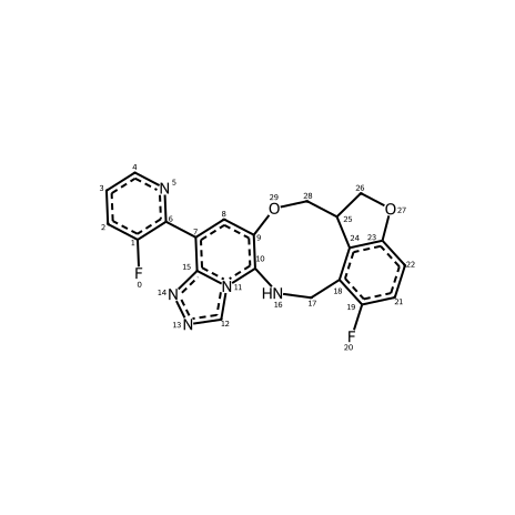 Fc1cccnc1-c1cc2c(n3cnnc13)NCc1c(F)ccc3c1C(CO3)CO2